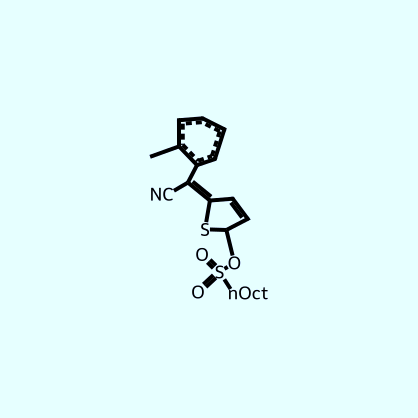 CCCCCCCCS(=O)(=O)OC1C=CC(=C(C#N)c2ccccc2C)S1